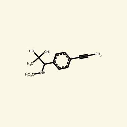 CC#Cc1ccc(C(NC(=O)O)C(C)(C)O)cc1